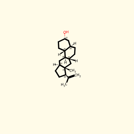 C=C(C)[C@H]1CC[C@H]2C[C@@H]3[C@H](CC[C@@H]4C[C@@H](O)CC[C@H]43)C[C@@]21C